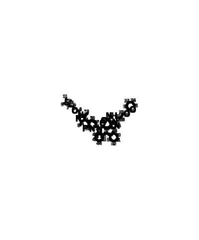 Cc1nn(COCC[Si](C)(C)C)c(C)c1-c1ccc(NC(=O)[C@H](c2cnn(CCCOC3CCCCO3)c2C(N)=O)C(C2CCCCC2)C2CCCCC2)nc1F